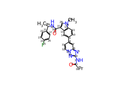 CC(C)C(=O)Nc1nc2cc(-c3ccc4c(c3)c(C(=O)N[C@H](C)c3ccc(F)cc3)cn4C)ccn2n1